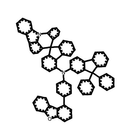 c1ccc(C2(c3ccccc3)c3ccccc3-c3ccc(N(c4ccc(-c5cccc6oc7ccccc7c56)cc4)c4cccc5c4-c4ccccc4C54c5ccccc5-n5c6ccccc6c6cccc4c65)cc32)cc1